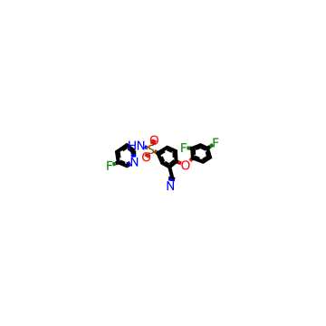 N#Cc1cc(S(=O)(=O)Nc2ccc(F)cn2)ccc1Oc1ccc(F)cc1F